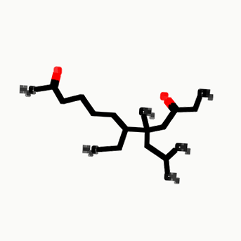 CCC(=O)CC(C)(CC(C)C)C(CC)CCCCC(C)=O